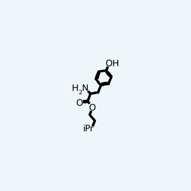 CC(C)CCOC(=O)C(N)Cc1ccc(O)cc1